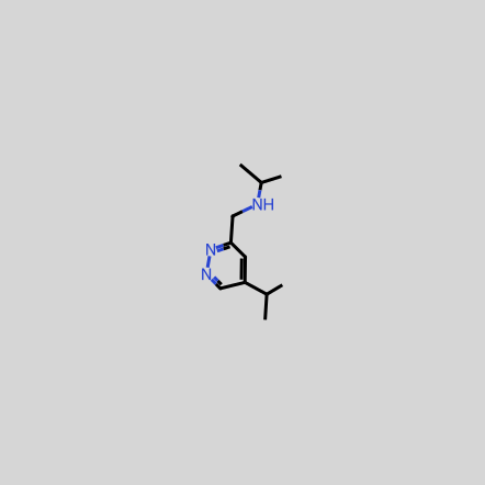 CC(C)NCc1cc(C(C)C)cnn1